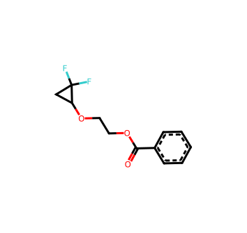 O=C(OCCOC1CC1(F)F)c1ccccc1